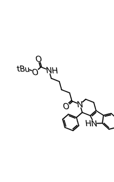 CC(C)(C)OC(=O)NCCCCC(=O)N1CCc2c([nH]c3ccccc23)C1c1ccccc1